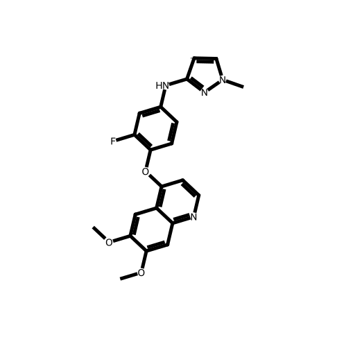 COc1cc2nccc(Oc3ccc(Nc4[c]cn(C)n4)cc3F)c2cc1OC